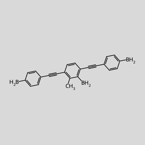 Bc1ccc(C#Cc2ccc(C#Cc3ccc(B)cc3)c(C)c2B)cc1